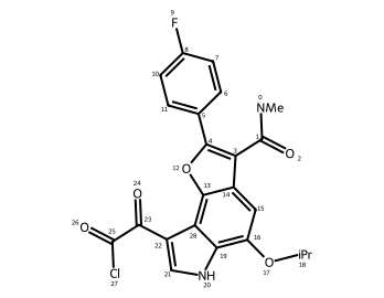 CNC(=O)c1c(-c2ccc(F)cc2)oc2c1cc(OC(C)C)c1[nH]cc(C(=O)C(=O)Cl)c12